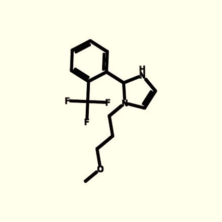 COCCCN1C=CNC1c1ccccc1C(F)(F)F